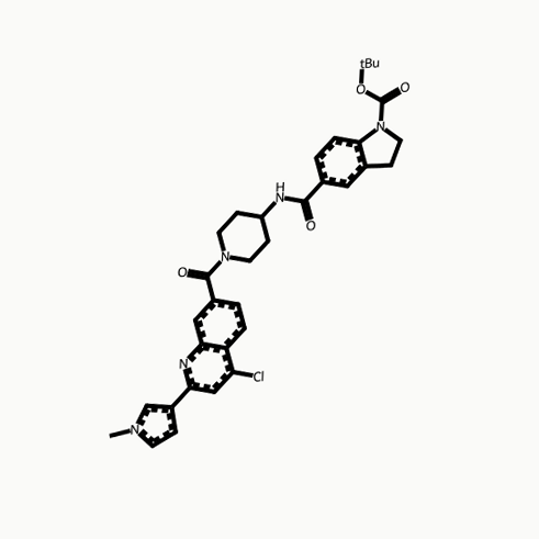 Cn1ccc(-c2cc(Cl)c3ccc(C(=O)N4CCC(NC(=O)c5ccc6c(c5)CCN6C(=O)OC(C)(C)C)CC4)cc3n2)c1